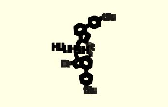 CCC1=Cc2c(-c3ccc(C(C)(C)C)cc3)cccc2C1C[SiH2]CC1C(CC)=Cc2c(-c3ccc(C(C)(C)C)cc3)cccc21.[LiH].[LiH]